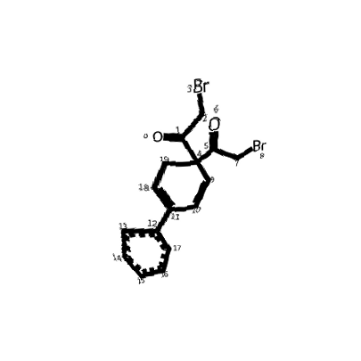 O=C(CBr)C1(C(=O)CBr)C=CC(c2ccccc2)=CC1